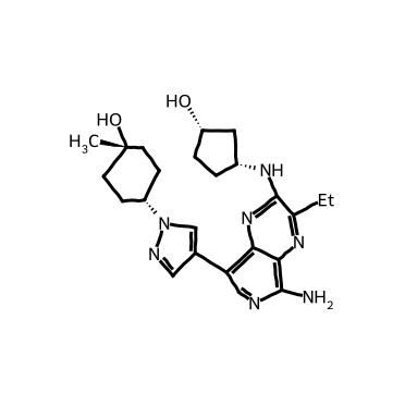 CCc1nc2c(N)ncc(-c3cnn([C@H]4CC[C@@](C)(O)CC4)c3)c2nc1N[C@@H]1CC[C@H](O)C1